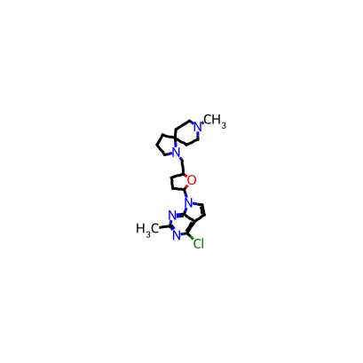 Cc1nc(Cl)c2ccn(C3CCC(CN4CCCC45CCN(C)CC5)O3)c2n1